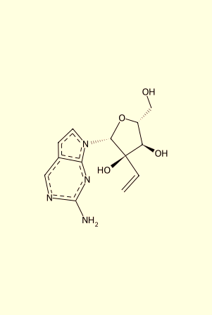 C=C[C@@]1(O)[C@H](O)[C@@H](CO)O[C@H]1n1ccc2cnc(N)nc21